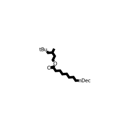 CCCCCCCCCCCCCCCCCC(=O)OCCC(C)CC(C)(C)C